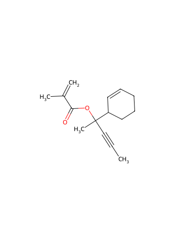 C=C(C)C(=O)OC(C)(C#CC)C1C=CCCC1